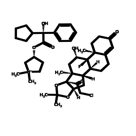 CC1(C)O[C@@H]2C[C@H]3[C@@H]4CCC5=CC(=O)CC[C@]5(C)[C@@]4(F)[C@@H](O)C[C@]3(C)[C@]2(C(=O)CCl)O1.C[N+]1(C)CC[C@@H](OC(=O)[C@](O)(c2ccccc2)C2CCCC2)C1